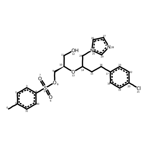 Cc1ccc(S(=O)(=O)OC[C@@H](CO)OC(CCc2ccc(Cl)cc2)Cn2ccnc2)cc1